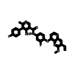 C=Cc1cc2nccc(Oc3ccc(NC(=O)c4cnc(C)c(-c5ccc(F)cc5)c4O)cc3F)c2nc1OC